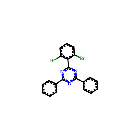 Brc1cccc(Br)c1-c1nc(-c2ccccc2)nc(-c2ccccc2)n1